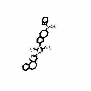 CN(C1CCc2ccc(N3C(N)=NN(c4cc5c(nn4)-c4ccccc4CCC5)C3N)cc2CC1)C1CC2CCC1C2